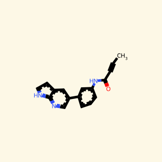 CC#CC(=O)Nc1cccc(-c2cnc3[nH]ccc3c2)c1